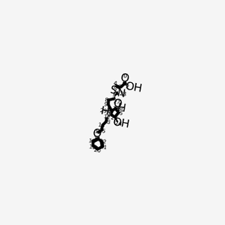 O=C(O)c1csc([C@H]2CC[C@@H]3[C@@H](CCCCOc4ccccc4)[C@H](O)C[C@@H]3O2)n1